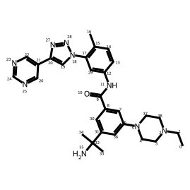 CCN1CCN(c2cc(C(=O)Nc3ccc(C)c(-n4cc(-c5cncnc5)nn4)c3)cc(C(C)(C)N)c2)CC1